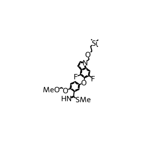 COCOc1ccc(Oc2c(F)cc3c(ccn3COCC[Si](C)(C)C)c2F)cc1C(=N)SC